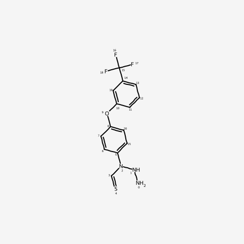 NNN(C=S)c1ccc(Oc2cccc(C(F)(F)F)c2)cc1